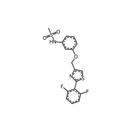 CS(=O)(=O)Nc1cccc(OCc2csc(-c3c(F)cccc3F)n2)c1